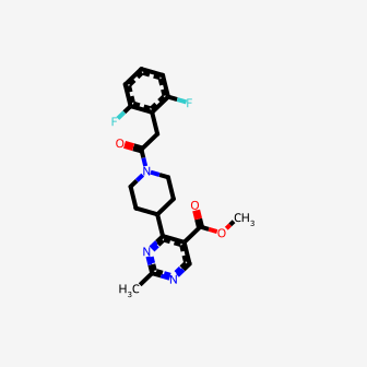 COC(=O)c1cnc(C)nc1C1CCN(C(=O)Cc2c(F)cccc2F)CC1